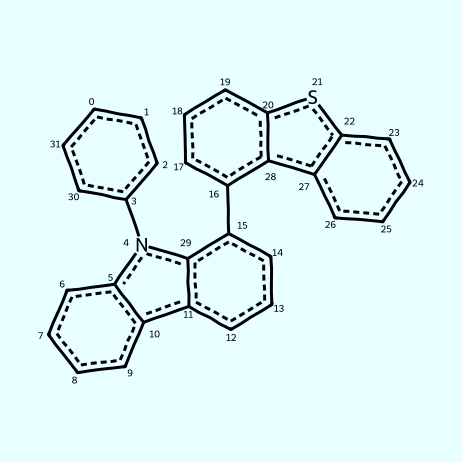 c1ccc(-n2c3ccccc3c3cccc(-c4cccc5sc6ccccc6c45)c32)cc1